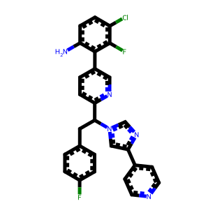 Nc1ccc(Cl)c(F)c1-c1ccc(C(Cc2ccc(F)cc2)n2cnc(-c3ccncc3)c2)nc1